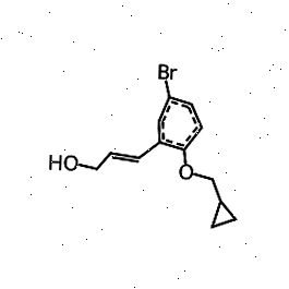 OCC=Cc1cc(Br)ccc1OCC1CC1